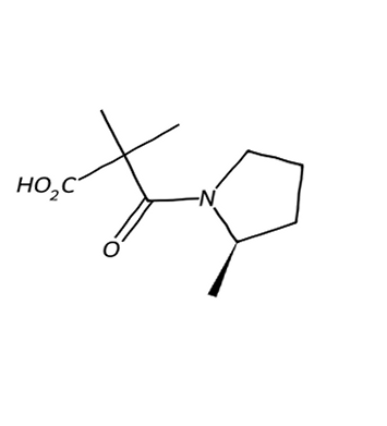 C[C@@H]1CCCN1C(=O)C(C)(C)C(=O)O